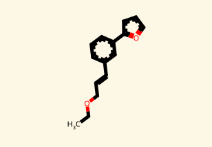 CCOC/C=C/c1cccc(-c2ccco2)c1